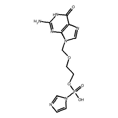 Nc1nc2c(ncn2COCCOP(=O)(O)n2ccnc2)c(=O)[nH]1